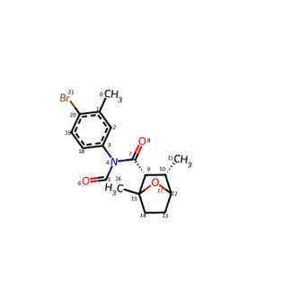 Cc1cc(N(C=O)C(=O)[C@@H]2[C@H](C)C3CCC2(C)O3)ccc1Br